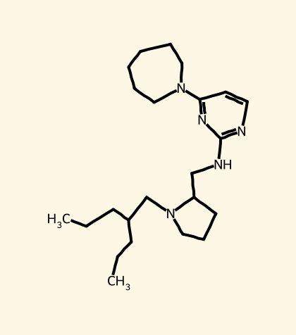 CCCC(CCC)CN1CCCC1CNc1nccc(N2CCCCCC2)n1